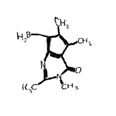 BC1C(C)=C(C)c2c1nc(C)n(C)c2=O